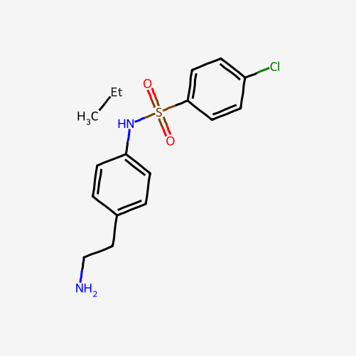 CCC.NCCc1ccc(NS(=O)(=O)c2ccc(Cl)cc2)cc1